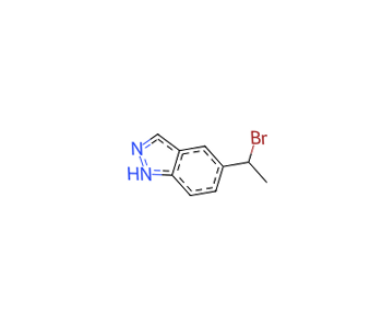 CC(Br)c1ccc2[nH]ncc2c1